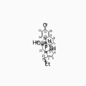 CCSC1=CC[C@H]2[C@@H]3CCC4=CC(=O)C=C[C@]4(C)[C@@]3(F)[C@@H](O)C[C@]12C